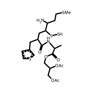 CSCCC(N)C(CC(Cc1ccsc1)C(=O)NC(C)C(=O)OCC(COC(C)=O)OC(C)=O)SS